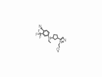 CCN(c1ccc(C#N)c(C(F)(F)F)c1)C1CCC(c2cncn2CCOC)C1